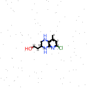 Cc1cc(Cl)nc2c1NCC(CCO)N2